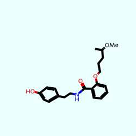 COC(C)CCCOc1ccccc1C(=O)NCCc1ccc(O)cc1